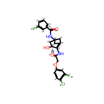 O=C(COc1ccc(Cl)c(F)c1)NC1=C2CC(NC(=O)c3cccc(F)c3)(C2)C[C@@H]1O